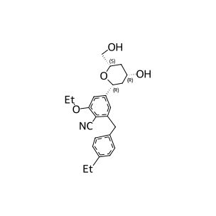 CCOc1cc([C@H]2C[C@@H](O)C[C@@H](CO)O2)cc(Cc2ccc(CC)cc2)c1C#N